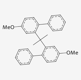 COc1ccc(-c2ccccc2)c(C(C)(C)c2cc(OC)ccc2-c2ccccc2)c1